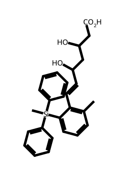 Cc1cccc([Si](C)(c2ccccc2)c2ccccc2)c1C=CC(O)CC(O)CC(=O)O